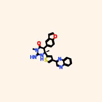 CN1C(=N)N[C@](C)(c2cc(-c3cnc4ccccc4n3)cs2)C(c2ccc3occc3c2)C1=O